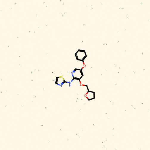 c1ccc(Oc2cnc(Nc3nccs3)c(OCC3CCCO3)c2)cc1